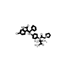 CC(C)(C(N)=O)N(C(=O)CN1CCCC1)c1ccc(NC(=C2C(=O)Nc3cc(Cl)ccc32)c2ccccc2)cc1